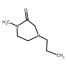 CCCN1CCN(C)C(=O)C1